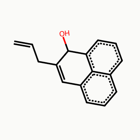 C=CCC1=Cc2cccc3cccc(c23)C1O